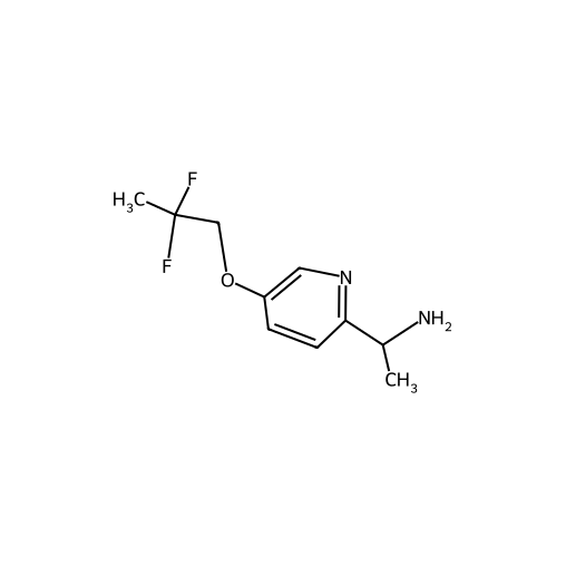 CC(N)c1ccc(OCC(C)(F)F)cn1